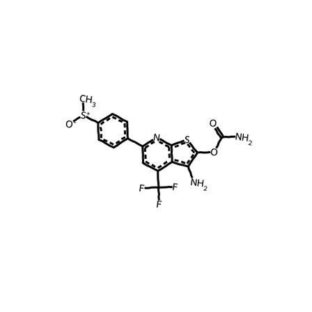 C[S+]([O-])c1ccc(-c2cc(C(F)(F)F)c3c(N)c(OC(N)=O)sc3n2)cc1